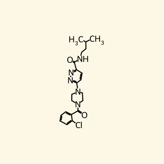 CC(C)CCNC(=O)c1ccc(N2CCN(C(=O)c3ccccc3Cl)CC2)nn1